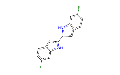 Fc1ccc2cc(-c3cc4ccc(F)cc4[nH]3)[nH]c2c1